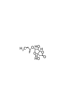 C=CC(F)OC1O[C@H]2[C@H](OC(=O)[C@@H]2O)[C@@H]1O